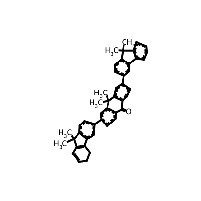 CC1(C)C2=C(CCC=C2)c2cc(-c3ccc4c(c3)C(C)(C)c3cc(-c5ccc6c(c5)-c5ccccc5C6(C)C)ccc3C4=O)ccc21